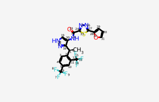 C[C@@H](c1ccc(C(F)(F)F)cc1C(F)(F)F)c1n[nH]cc1NC(=O)c1nnc(-c2ccco2)s1